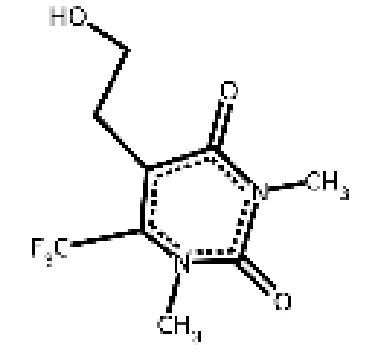 Cn1c(C(F)(F)F)c(CCO)c(=O)n(C)c1=O